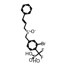 O=P(O)(O)C(F)(F)c1ccc(C[S+]([O-])C/C=C/c2ccccc2)cc1Br